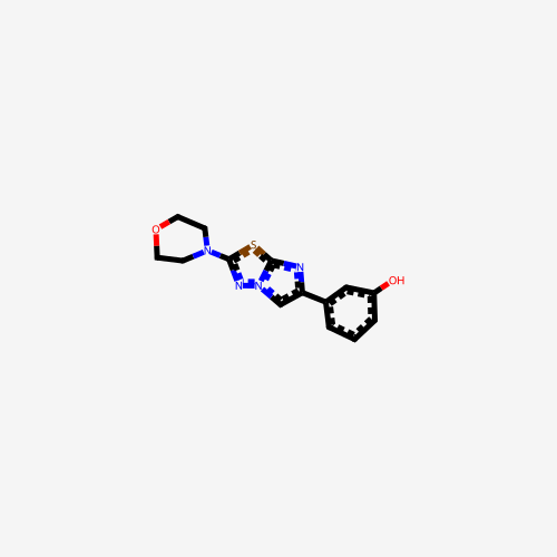 Oc1cccc(-c2cn3nc(N4CCOCC4)sc3n2)c1